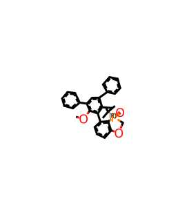 COc1c(-c2ccccc2)cc(-c2ccccc2)c(C)c1-c1cccc2c1[P@](=O)(C(C)(C)C)CO2